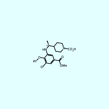 COC(=O)c1cc(Cl)c(OC(C)C)c(N[C@@H](C)C2CCN(C(=O)O)CC2)c1